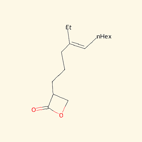 CCCCCCC=C(CC)CCCC1COC1=O